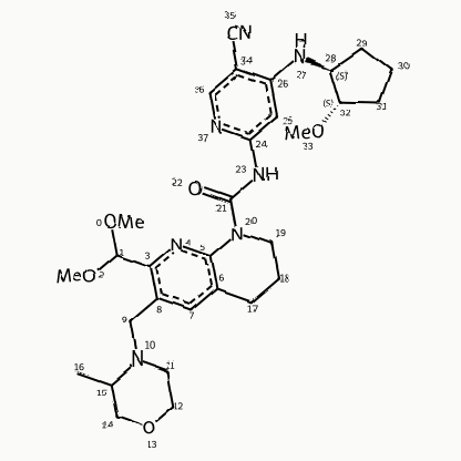 COC(OC)c1nc2c(cc1CN1CCOCC1C)CCCN2C(=O)Nc1cc(N[C@H]2CCC[C@@H]2OC)c(C#N)cn1